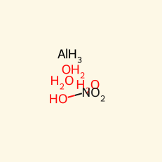 O.O.O.O=[N+]([O-])O.[AlH3]